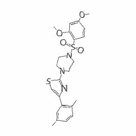 COc1ccc(S(=O)(=O)N2CCN(c3nc(-c4cc(C)ccc4C)cs3)CC2)c(OC)c1